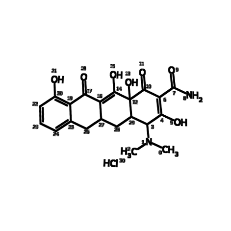 CN(C)C1C(O)=C(C(N)=O)C(=O)C2(O)C(O)=C3C(=O)c4c(O)cccc4CC3CC12.Cl